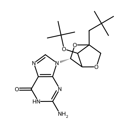 CC(C)(C)CC12COC(C1OC(C)(C)C)[C@H](n1cnc3c(=O)[nH]c(N)nc31)O2